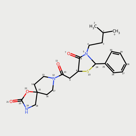 CC(C)CCN1C(=O)C(CC(=O)N2CCC3(CC2)CNC(=O)O3)SC1c1ccccc1